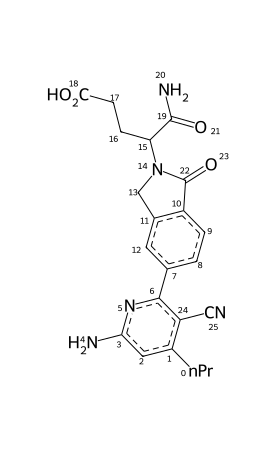 CCCc1cc(N)nc(-c2ccc3c(c2)CN(C(CCC(=O)O)C(N)=O)C3=O)c1C#N